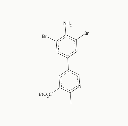 CCOC(=O)c1cc(-c2cc(Br)c(N)c(Br)c2)cnc1C